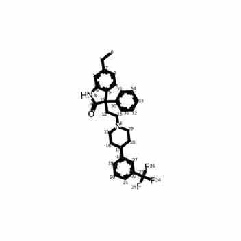 CCc1ccc2c(c1)NC(=O)C2(CCN1CCC(c2cccc(C(F)(F)F)c2)CC1)c1ccccc1